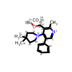 Cc1ncc(-c2ccccc2)c(N2CCC(C)(C)CC2)c1[C@H](OC(C)(C)C)C(=O)O